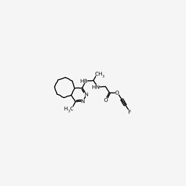 CC1=NN=C(BC(C)NCC(=O)OC#CF)C2CCCCCCC12